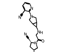 N#Cc1cccnc1N1CC2C(C1)C2NCC(=O)N1C[C@@H](F)C[C@H]1C#N